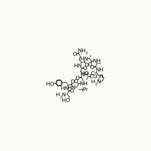 CC(C)C[C@H](NC(=O)[C@H](Cc1ccc(O)cc1)NC(=O)[C@@H](N)CO)C(=O)N[C@@H](CCC(=O)O)C(=O)NCC(=O)N[C@@H](CCC(N)=O)C(=O)N[C@@H](C)C(=O)N[C@@H](C)C(=O)N[C@@H](CCCCN)C(=O)O